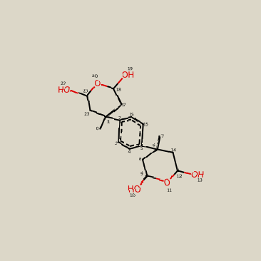 CC1(c2ccc(C3(C)CC(O)OC(O)C3)cc2)CC(O)OC(O)C1